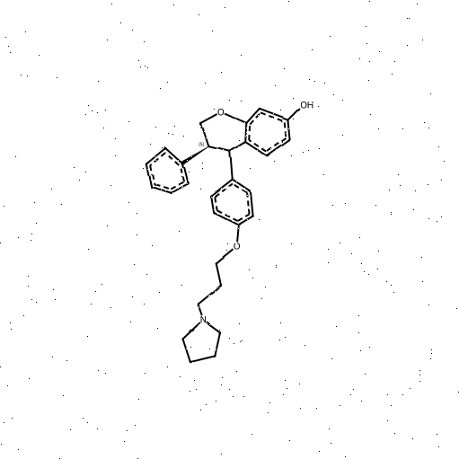 Oc1ccc2c(c1)OC[C@H](c1ccccc1)C2c1ccc(OCCCN2CCCC2)cc1